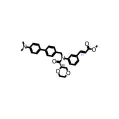 COC(=O)/C=C/c1cccc(N(Cc2ccc(-c3ccc(N(C)C)cc3)cc2)C(=O)[C@H]2COCCO2)c1